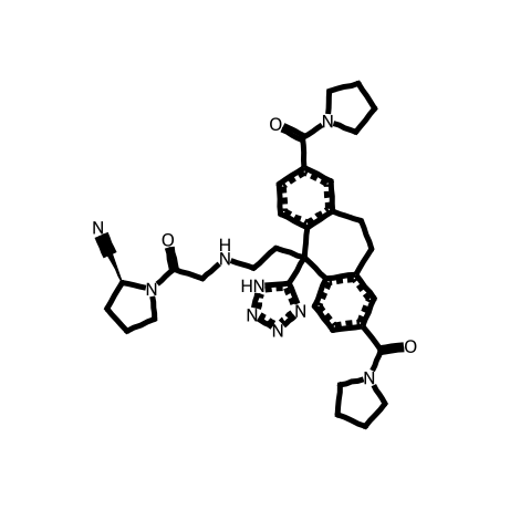 N#C[C@@H]1CCCN1C(=O)CNCCC1(c2nnn[nH]2)c2ccc(C(=O)N3CCCC3)cc2CCc2cc(C(=O)N3CCCC3)ccc21